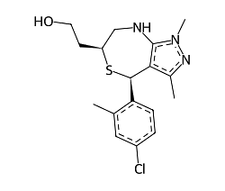 Cc1cc(Cl)ccc1[C@H]1S[C@@H](CCO)CNc2c1c(C)nn2C